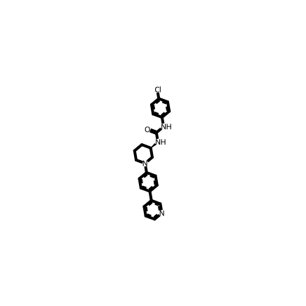 O=C(Nc1ccc(Cl)cc1)N[C@@H]1CCCN(c2ccc(-c3cccnc3)cc2)C1